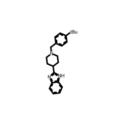 CC(C)(C)c1ccc(CN2CCC(c3nc4ccccc4[nH]3)CC2)cc1